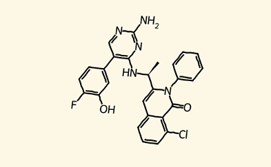 C[C@H](Nc1nc(N)ncc1-c1ccc(F)c(O)c1)c1cc2cccc(Cl)c2c(=O)n1-c1ccccc1